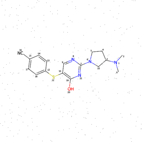 CN(C)C1CCN(c2ncc(Sc3ccc(C#N)cc3)c(O)n2)C1